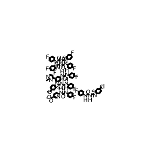 COC(=O)c1ccc(NC(=O)Nc2ccc(F)cc2)nc1.COc1ccc2nc(NC(=O)Nc3ccc(F)cc3)sc2c1.Cc1nccc(-c2cccc(NC(=O)Nc3ccc(F)cc3)c2)n1.O=C(Nc1ccc(F)cc1)Nc1nc2c(F)cc(F)cc2s1.O=C(Nc1ccc(F)cc1)Nc1nc2ccc(Cl)cc2s1.O=C(Nc1ccc(F)cc1)Nc1nc2ccc(F)cc2s1